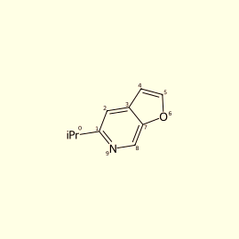 CC(C)c1cc2ccoc2cn1